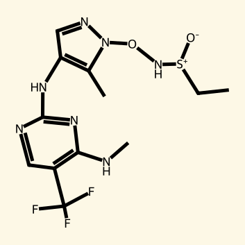 CC[S+]([O-])NOn1ncc(Nc2ncc(C(F)(F)F)c(NC)n2)c1C